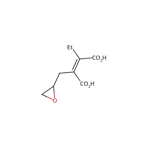 CC/C(C(=O)O)=C(\CC1CO1)C(=O)O